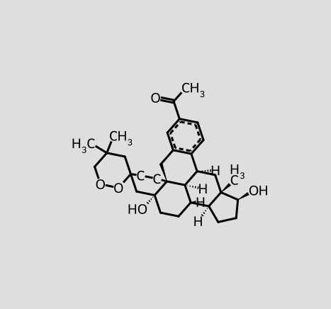 CC(=O)c1ccc2c(c1)C[C@]13CCC4(CC(C)(C)COO4)C[C@]1(O)CC[C@@H]1[C@@H]3[C@@H]2C[C@]2(C)[C@@H](O)CC[C@@H]12